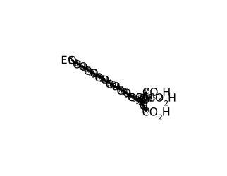 CCOCCOCCOCCOCCOCCOCCOCCOCCOCCOCCOCCOCCC(=O)CC(COCCC(=O)O)(COCCC(=O)O)COCCC(=O)O